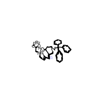 CC(C)(C)OC(=O)Cn1ccc(/C=C2/CN(C(c3ccccc3)(c3ccccc3)c3ccccc3)CCC2O)n1